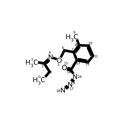 CCC(C)=NOCc1c(C)cccc1C(=O)N=[N+]=[N-]